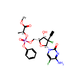 C#CC1(F)[C@@H](O)[C@@H](COP(=O)(Oc2ccccc2)O[C@@H](C)C(=O)OC(C)C)O[C@H]1n1cc(F)c(N)nc1=O